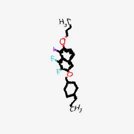 CCCCOc1ccc2cc(OCC3CCC(CCC)CC3)c(F)c(F)c2c1I